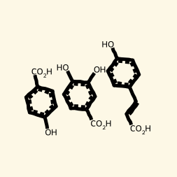 O=C(O)C=Cc1ccc(O)cc1.O=C(O)c1ccc(O)c(O)c1.O=C(O)c1ccc(O)cc1